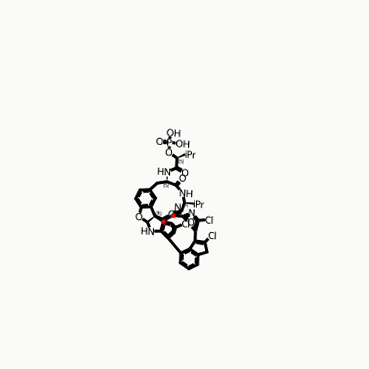 CC(C)[C@H](OP(=O)(O)O)C(=O)N[C@H]1Cc2ccc3c(c2)[C@]24c5cc(Cl)cc(c5NC2O3)-c2cccc3c2C(=C(Cl)C3)c2oc(nc2Cl)-c2nc(oc24)[C@H](C(C)C)NC1=O